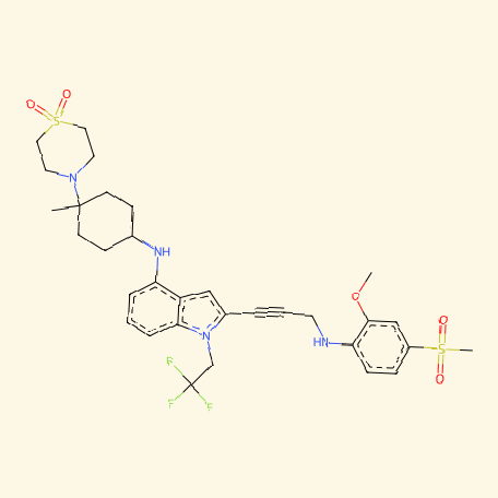 COc1cc(S(C)(=O)=O)ccc1NCC#Cc1cc2c(NC3CCC(C)(N4CCS(=O)(=O)CC4)CC3)cccc2n1CC(F)(F)F